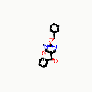 Cn1c(OCc2ccccc2)ncc(C(=O)c2ccccc2)c1=O